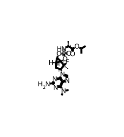 CC(C)OC(=O)[C@H](C)N[P@]1(=O)OC2[C@H]3C[C@@H](n4cnc5c(N(C)C)nc(N)nc54)[C@](C)(F)[C@@]23O1